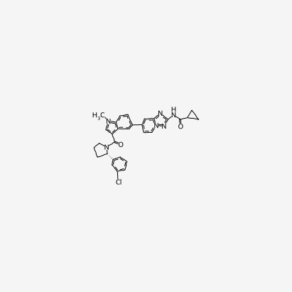 Cn1cc(C(=O)N2CCC[C@H]2c2cccc(Cl)c2)c2cc(-c3ccn4nc(NC(=O)C5CC5)nc4c3)ccc21